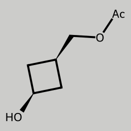 CC(=O)OC[C@H]1C[C@@H](O)C1